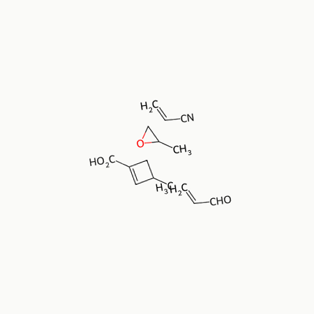 C=CC#N.C=CC=O.CC1C=C(C(=O)O)C1.CC1CO1